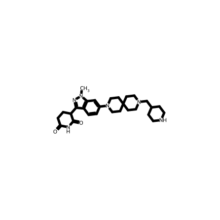 Cn1nc(C2CCC(=O)NC2=O)c2ccc(N3CCC4(CCN(CC5CCNCC5)CC4)CC3)cc21